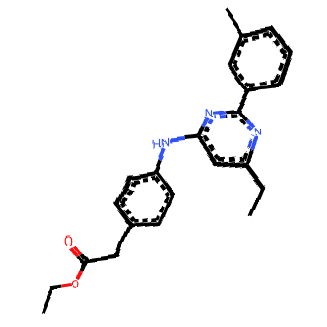 CCOC(=O)Cc1ccc(Nc2cc(CC)nc(-c3cccc(C)c3)n2)cc1